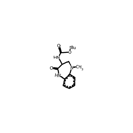 CN1CC(NC(=O)OC(C)(C)C)C(=O)Nc2ccccc21